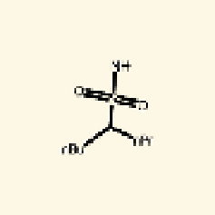 CCCCC(CCC)S([NH])(=O)=O